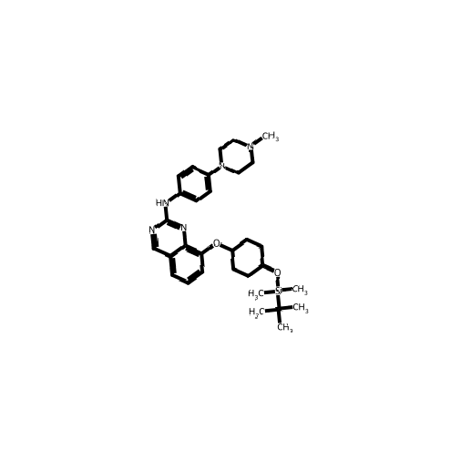 CN1CCN(c2ccc(Nc3ncc4cccc(OC5CCC(O[Si](C)(C)C(C)(C)C)CC5)c4n3)cc2)CC1